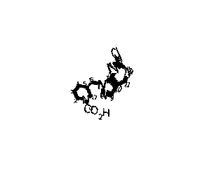 O=C(O)N1CCC[C@@H](Cn2ncc3cnc(Cl)nc32)C1